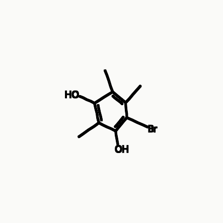 Cc1c(C)c(Br)c(O)c(C)c1O